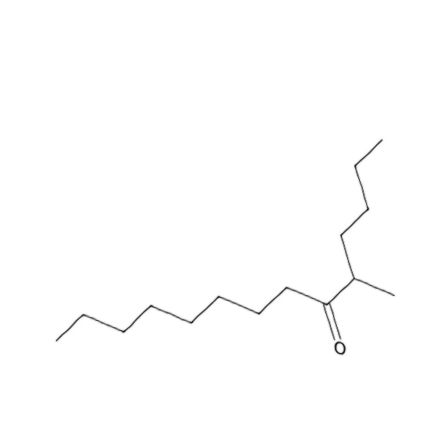 CCCCCCCCC(=O)C(C)CCCC